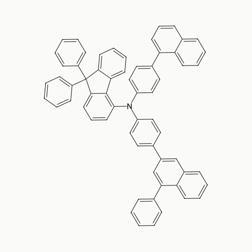 c1ccc(-c2cc(-c3ccc(N(c4ccc(-c5cccc6ccccc56)cc4)c4cccc5c4-c4ccccc4C5(c4ccccc4)c4ccccc4)cc3)cc3ccccc23)cc1